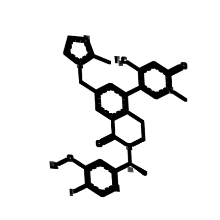 CCOc1cc([C@H](C)N2CCc3c(cc(Cn4ccnc4C)cc3-c3cn(C)c(=O)cc3C(F)(F)F)C2=O)ncc1F